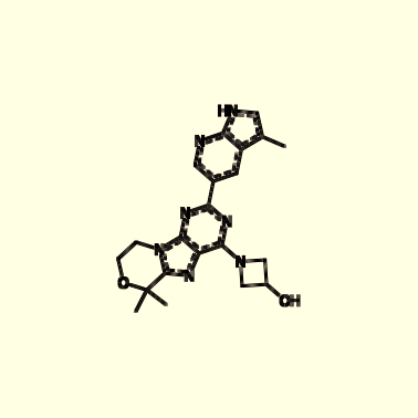 Cc1c[nH]c2ncc(-c3nc(N4CC(O)C4)c4nc5n(c4n3)CCOC5(C)C)cc12